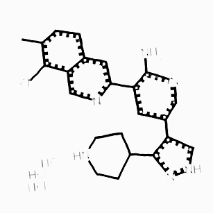 Cl.Cl.Cl.Nc1ncc(-c2c[nH]nc2C2CCNCC2)cc1-c1cc2ccc(F)c(Cl)c2cn1